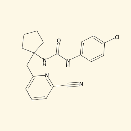 N#Cc1cccc(CC2(NC(=O)Nc3ccc(Cl)cc3)CCCC2)n1